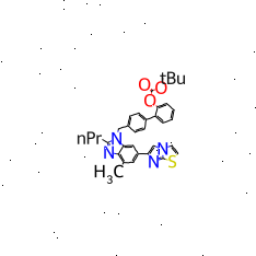 CCCc1nc2c(C)cc(-c3cn4ccsc4n3)cc2n1Cc1ccc(-c2ccccc2OC(=O)OC(C)(C)C)cc1